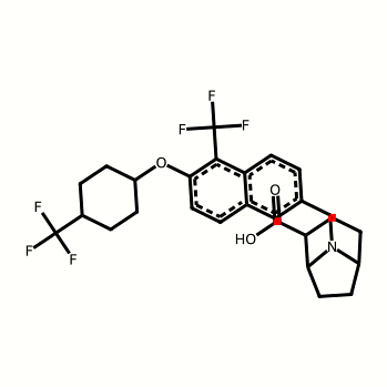 O=C(O)C1CCC2CCC1N2Cc1ccc2c(C(F)(F)F)c(OC3CCC(C(F)(F)F)CC3)ccc2c1